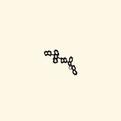 c1ccc2cc(-c3c4ccccc4c(-c4ccc5cc(-c6cc7oc8c9ccccc9ccc8c7c7ccccc67)ccc5c4)c4ccccc34)ccc2c1